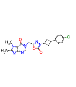 Bc1nc2ncn(Cc3nn(C4CC(c5ccc(Cl)cc5)C4)c(=O)o3)c(=O)c2n1C